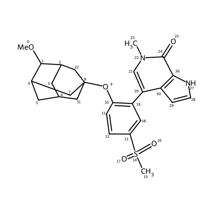 COC1C2CC3CC1CC(Oc1ccc(S(C)(=O)=O)cc1-c1cn(C)c(=O)c4[nH]ccc14)(C3)C2